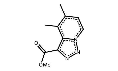 COC(=O)c1nnn2ccc(C)c(C)c12